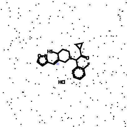 Cl.O=C(C1CC1)C(c1ccccc1F)N1CCC(S)/C(=C\c2ccon2)C1